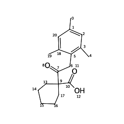 Cc1cc(C)c(CC(=O)C2(C(=O)O)CCCCC2)c(C)c1